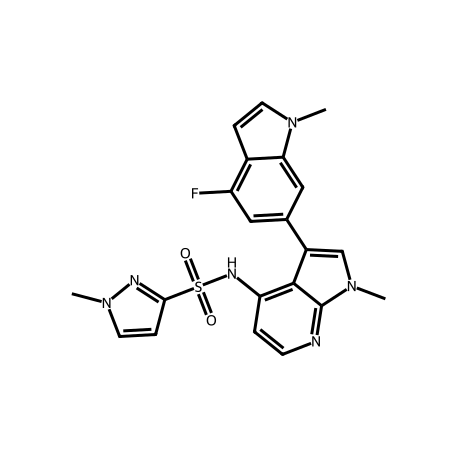 Cn1ccc(S(=O)(=O)Nc2ccnc3c2c(-c2cc(F)c4ccn(C)c4c2)cn3C)n1